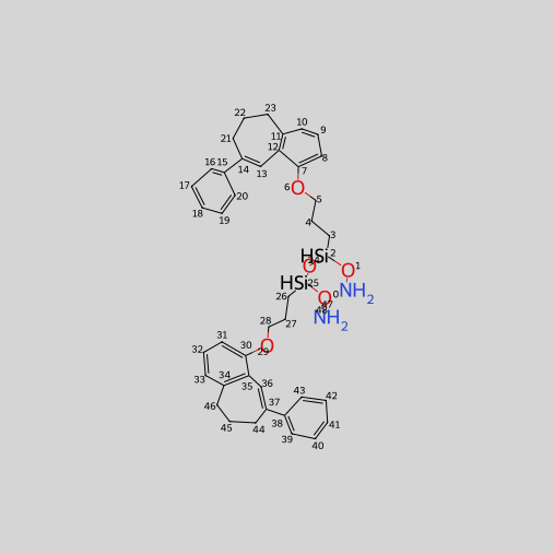 NO[SiH](CCCOc1cccc2c1C=C(c1ccccc1)CCC2)O[SiH](CCCOc1cccc2c1C=C(c1ccccc1)CCC2)ON